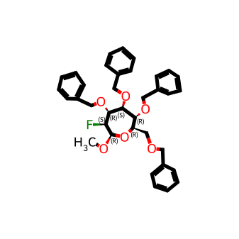 CO[C@@H]1O[C@H](COCc2ccccc2)[C@@H](OCc2ccccc2)[C@H](OCc2ccccc2)[C@@H](OCc2ccccc2)[C@@H]1F